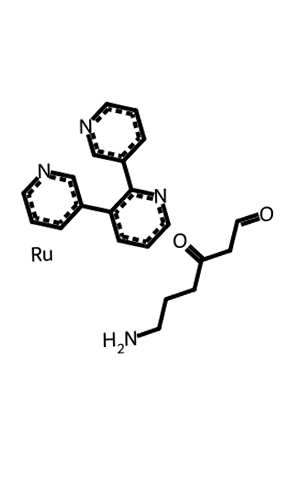 NCCCC(=O)CC=O.[Ru].c1cncc(-c2cccnc2-c2cccnc2)c1